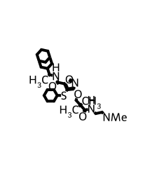 CNCCNC(=O)C(C)(C)COc1noc(C(=O)NC(C)C2CC3CCCC(C3)C2)c1SC1CCCCC1